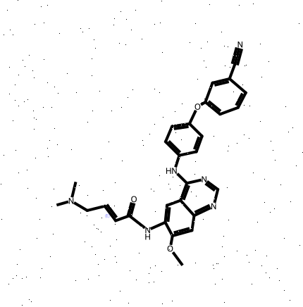 COc1cc2ncnc(Nc3ccc(Oc4cccc(C#N)c4)cc3)c2cc1NC(=O)/C=C/CN(C)C